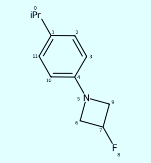 CC(C)c1ccc(N2CC(F)C2)cc1